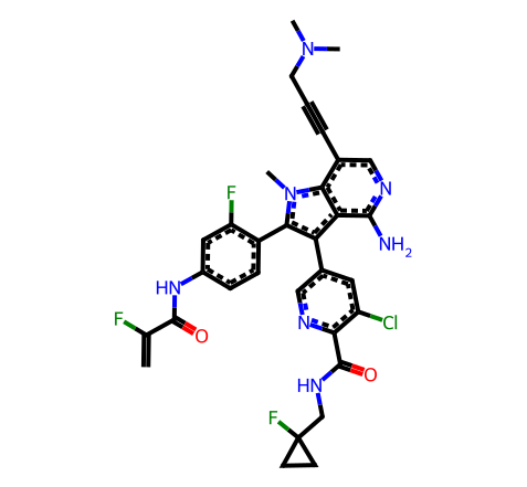 C=C(F)C(=O)Nc1ccc(-c2c(-c3cnc(C(=O)NCC4(F)CC4)c(Cl)c3)c3c(N)ncc(C#CCN(C)C)c3n2C)c(F)c1